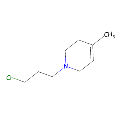 CC1=CCN(CCCCl)CC1